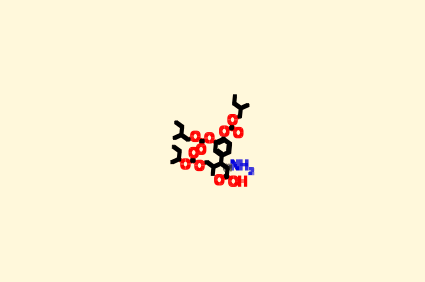 CCC(C)COC(=O)Oc1ccc(C(C(C)COC(=O)OC(C)CC)[C@H](N)C(=O)O)cc1OC(=O)OCC(C)CC